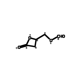 O=COCC1CC(=O)O1